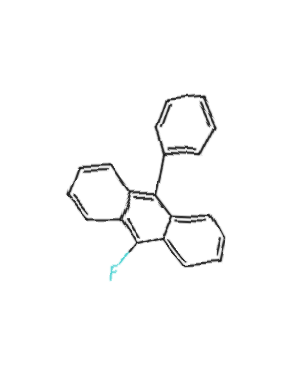 Fc1c2ccccc2c(-c2ccccc2)c2ccccc12